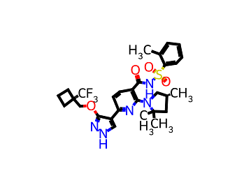 Cc1ccccc1S(=O)(=O)NC(=O)c1ccc(-c2c[nH]nc2OCC2(C(F)(F)F)CCC2)nc1N1C[C@@H](C)CC1(C)C